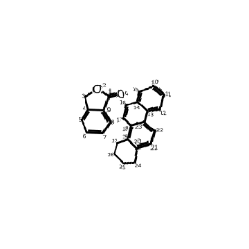 O=C1OCc2ccccc21.c1ccc2c(c1)ccc1c3c(ccc12)CCCC3